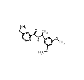 COc1cc(OC)cc(C(C)NC(=O)c2cc(CN)ccn2)c1